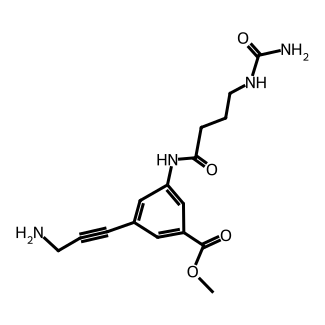 COC(=O)c1cc(C#CCN)cc(NC(=O)CCCNC(N)=O)c1